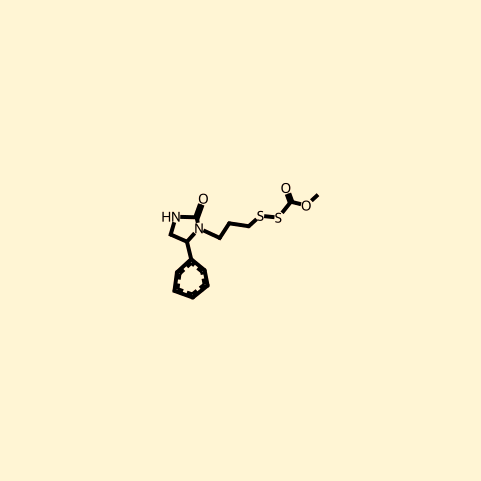 COC(=O)SSCCCN1C(=O)NCC1c1ccccc1